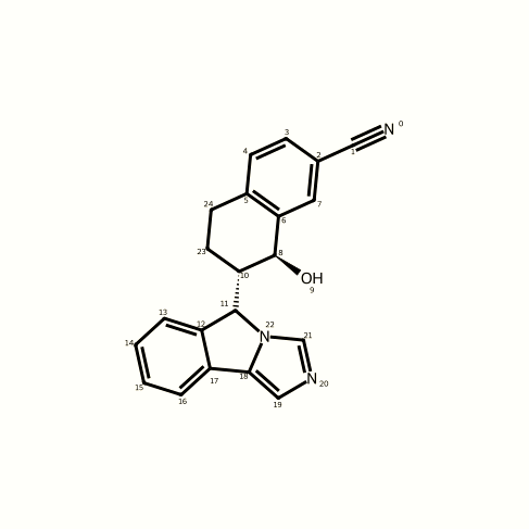 N#Cc1ccc2c(c1)[C@@H](O)[C@H](C1c3ccccc3-c3cncn31)CC2